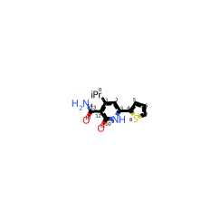 CC(C)c1cc(-c2cccs2)[nH]c(=O)c1C(N)=O